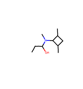 CCC(O)N(C)C1C(C)CC1C